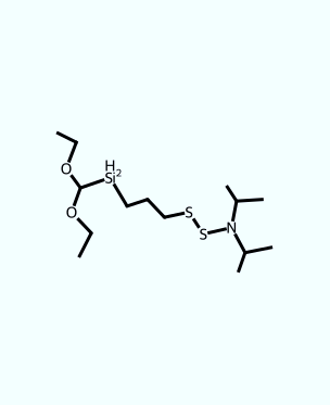 CCOC(OCC)[SiH2]CCCSSN(C(C)C)C(C)C